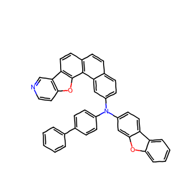 c1ccc(-c2ccc(N(c3ccc4c(c3)oc3ccccc34)c3ccc4ccc5ccc6c7cnccc7oc6c5c4c3)cc2)cc1